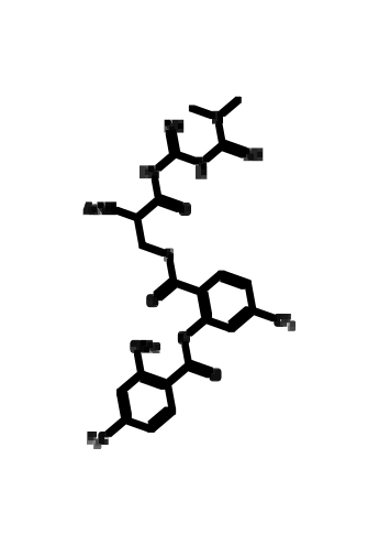 COc1cc(C(F)(F)F)ccc1C(=O)Oc1cc(C(F)(F)F)ccc1C(=O)SCC(NC(C)=O)C(=O)NC(=N)NC(=N)N(C)C